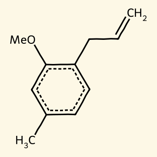 C=CCc1ccc(C)cc1OC